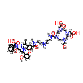 COc1cccc(OC)c1-c1cc(C(=O)NC2(C(=O)O)C3CC4CC(C3)CC2C4)nn1-c1ccc(C(=O)N(C)CCCN(C)CCCN(C)C(=O)CN2CCN(CC=O)CCN(CC(=O)O)CCN(CC(=O)O)CC2)cc1C(C)C